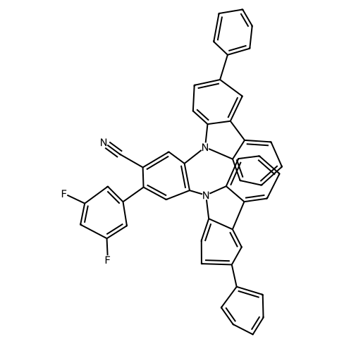 N#Cc1cc(-n2c3ccccc3c3cc(-c4ccccc4)ccc32)c(-n2c3ccccc3c3cc(-c4ccccc4)ccc32)cc1-c1cc(F)cc(F)c1